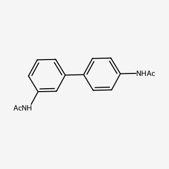 CC(=O)Nc1ccc(-c2cccc(NC(C)=O)c2)cc1